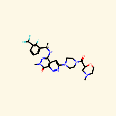 C[C@@H](Nc1nn(C)c(=O)c2nnc(N3CCN(C(=O)C4CN(C)CCO4)CC3)cc12)c1cccc(C(F)F)c1F